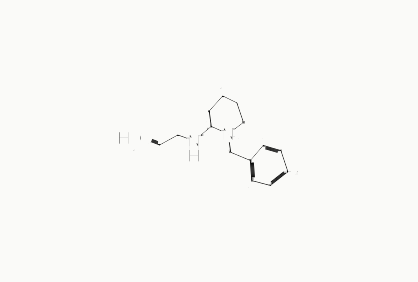 C=CCNC1CCCCN1Cc1ccccc1